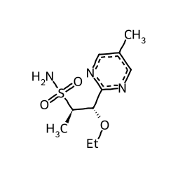 CCO[C@@H](c1ncc(C)cn1)[C@@H](C)S(N)(=O)=O